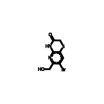 O=C1CSc2cc(Br)c(CO)nc2N1